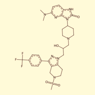 CN(C)c1ccc2[nH]c(=O)n(C3CCN(CC(O)Cn4nc(-c5ccc(C(F)(F)F)cc5)c5c4CCN(S(C)(=O)=O)C5)CC3)c2n1